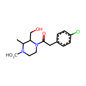 CC1C(CO)N(C(=O)Cc2ccc(Cl)cc2)CCN1C(=O)O